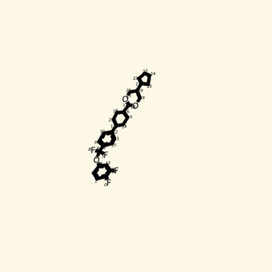 Fc1ccc(OC(F)(F)c2ccc(C3CCC(C4OCC(C5CCCC5)CO4)CC3)cc2)cc1F